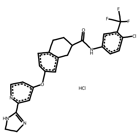 Cl.O=C(Nc1ccc(Cl)c(C(F)(F)F)c1)C1CCc2ccc(Oc3ccnc(C4=NCCN4)c3)cc2C1